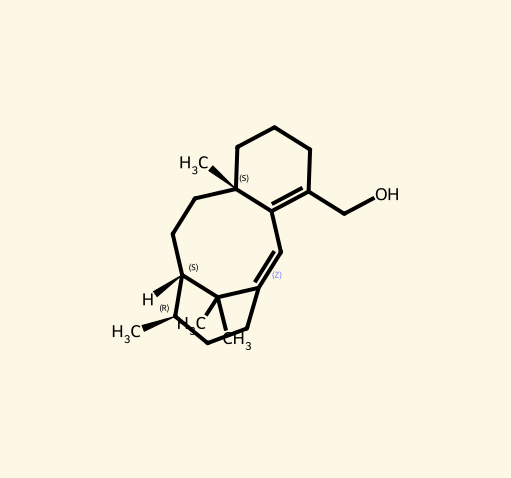 C[C@@H]1CC/C2=C/C3=C(CO)CCC[C@@]3(C)CC[C@@H]1C2(C)C